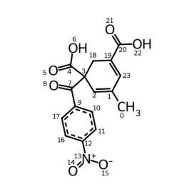 CC1=CC(C(=O)O)(C(=O)c2ccc([N+](=O)[O-])cc2)CC(C(=O)O)=C1